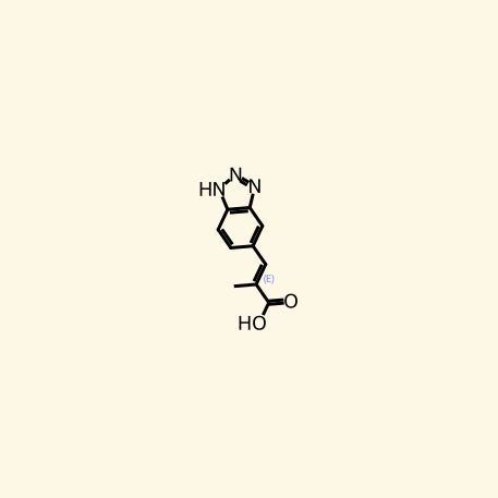 C/C(=C\c1ccc2[nH]nnc2c1)C(=O)O